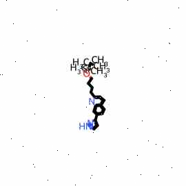 CC(C)(C)[Si](C)(C)OCCCCc1ccc2ccc(-c3cc[nH]n3)cc2n1